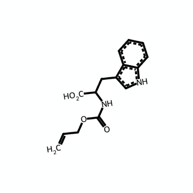 C=CCOC(=O)NC(Cc1c[nH]c2ccccc12)C(=O)O